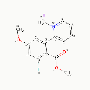 COC(=O)c1c(F)cc(OC)cc1-c1cccc[n+]1C.[I-]